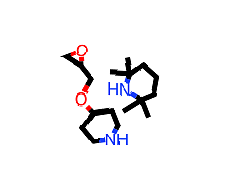 C1CC(OCC2CO2)CCN1.CC1(C)CCCC(C)(C)N1